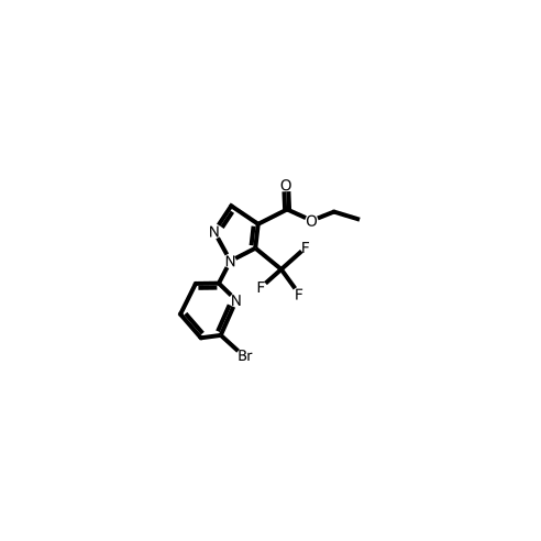 CCOC(=O)c1cnn(-c2cccc(Br)n2)c1C(F)(F)F